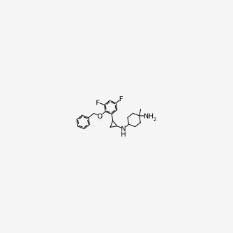 CC1(N)CCC(NC2CC2c2cc(F)cc(F)c2OCc2ccccc2)CC1